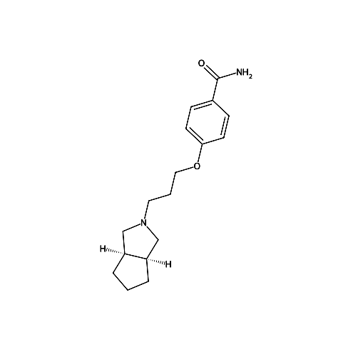 NC(=O)c1ccc(OCCCN2C[C@H]3CCC[C@H]3C2)cc1